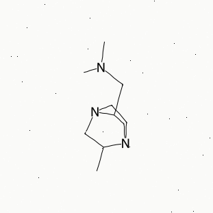 CC1CN2CCN1CC2CN(C)C